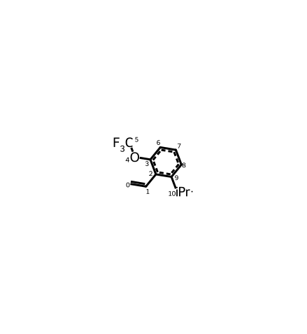 C=Cc1c(OC(F)(F)F)cccc1[C](C)C